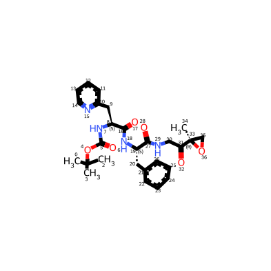 CC(C)(C)OC(=O)N[C@@H](Cc1ccccn1)C(=O)N[C@@H](Cc1ccccc1)C(=O)NCC(=O)[C@@]1(C)CO1